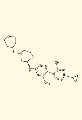 Cc1cc(N[C@@H]2CCCN(CC3CCOCC3)C2)nnc1-c1ccc(C2CC2)cc1O